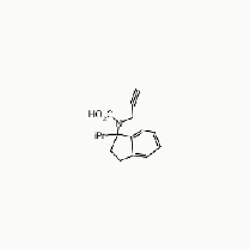 C#CCN(C(=O)O)C1(C(C)C)CCc2ccccc21